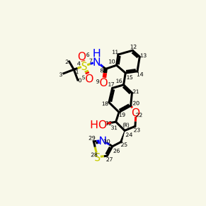 CC(C)(C)S(=O)(=O)NC(=O)c1ccccc1-c1ccc2c(c1)OC[C@@H](Cc1cscn1)C2O